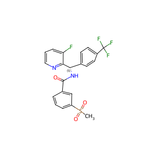 CS(=O)(=O)c1cccc(C(=O)N[C@@H](c2ccc(C(F)(F)F)cc2)c2ncccc2F)c1